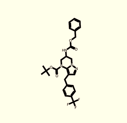 CC(C)(C)OC(=O)N1CC(NC(=O)OCc2ccccc2)Cn2ncc(Cc3ccc(C(F)(F)F)cc3)c21